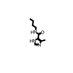 CCCCNC(=O)c1[nH]cnc1C